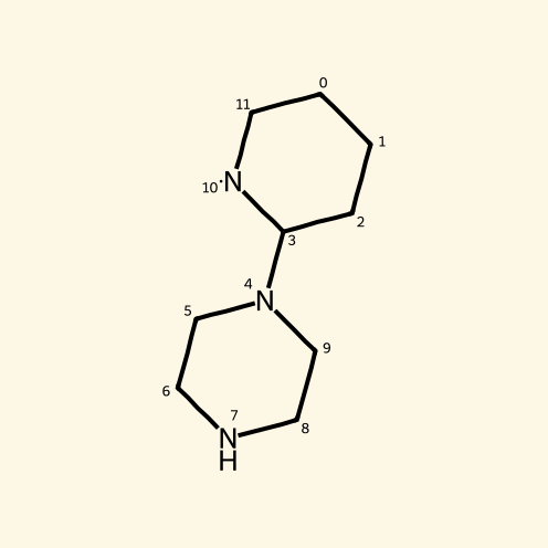 C1CCC(N2CCNCC2)[N]C1